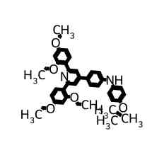 CCOc1ccc(-c2cc(-c3ccc(Nc4ccc(OC(C)(C)C)cc4)cc3)cc(-c3ccc(OCC)cc3OCC)n2)c(OCC)c1